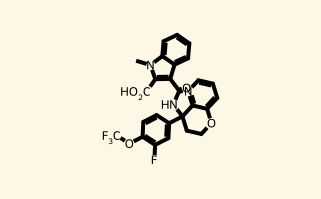 Cn1c(C(=O)O)c(C(=O)NC2(c3ccc(OC(F)(F)F)c(F)c3)CCOc3cccnc32)c2ccccc21